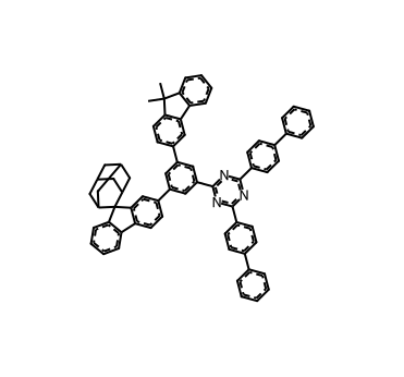 CC1(C)c2ccccc2-c2cc(-c3cc(-c4ccc5c(c4)C4(c6ccccc6-5)C5CC6CC(C5)CC4C6)cc(-c4nc(-c5ccc(-c6ccccc6)cc5)nc(-c5ccc(-c6ccccc6)cc5)n4)c3)ccc21